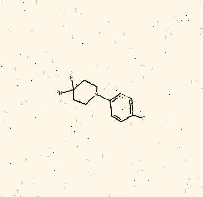 [2H]C1(F)CCN(c2ccc(F)cc2)CC1